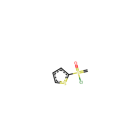 C=S(=O)(Cl)c1cccs1